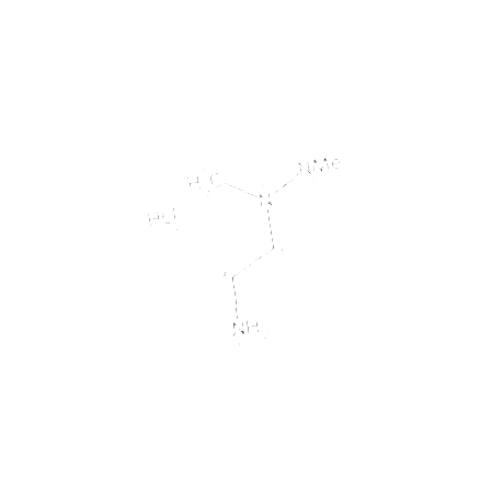 CNN(C)CCN.Cl